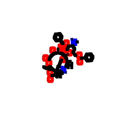 CC[C@H]1OC(=O)CC(=O)[C@H](C)[C@@H](O[C@@H]2O[C@H](COC(=O)c3ccccc3)CC(N(C)C)[C@H]2OC(=O)c2ccccc2)[C@@]2(C)C[C@@H](C)CN(C)[C@H](C)[C@H]3C(C/C=C/CO2)C(=O)O[C@@]31C